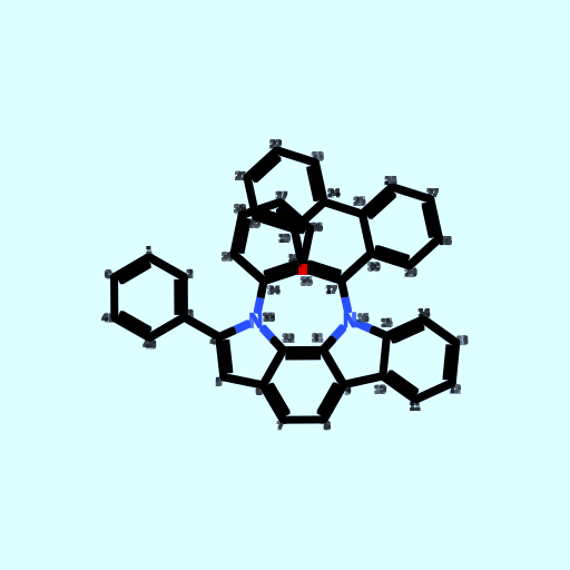 c1ccc(-c2cc3ccc4c5ccccc5n(-c5cc6ccccc6c6ccccc56)c4c3n2-c2ccccc2)cc1